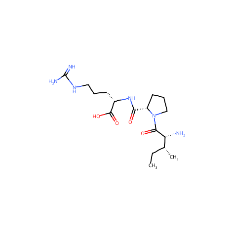 CC[C@@H](C)[C@@H](N)C(=O)N1CCC[C@H]1C(=O)N[C@@H](CCCNC(=N)N)C(=O)O